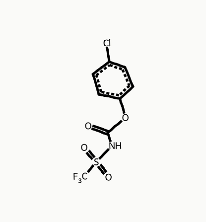 O=C(NS(=O)(=O)C(F)(F)F)Oc1ccc(Cl)cc1